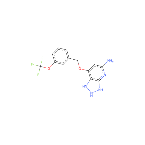 Nc1cc(OCc2cccc(OC(F)(F)F)c2)c2c(n1)NNN2